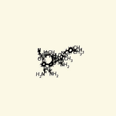 Cc1nc(Cc2ccc(C(C)(C)C)cc2)nc(C)c1C(=O)N[C@@H](CCN)C(=O)N(C)[C@@H]1C(=O)N[C@@H](C)C(=O)N[C@H](C(=O)NCC#N)Cc2ccc(OCCN)c(c2)-c2cc1ccc2OCCN